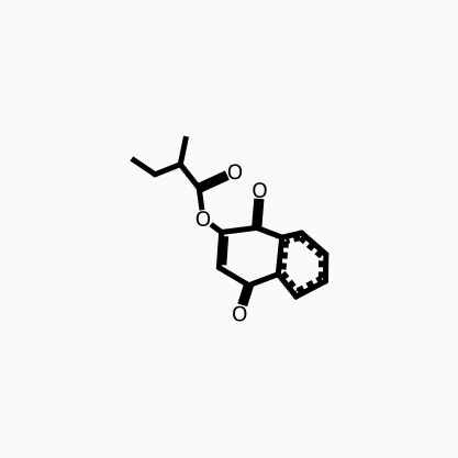 CCC(C)C(=O)OC1=CC(=O)c2ccccc2C1=O